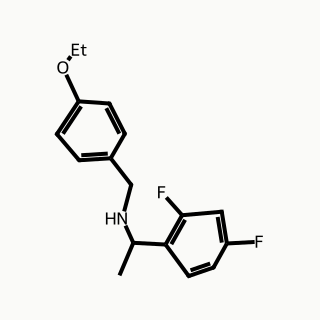 CCOc1ccc(CNC(C)c2ccc(F)cc2F)cc1